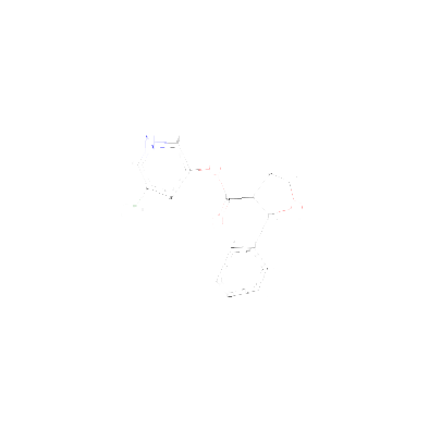 O=C(Oc1cncc(Cl)c1)C1CCOC1c1ccccc1